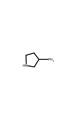 PC1CCNC1